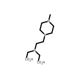 CN1CCN(CCN(CC(=O)O)CC(=O)O)CC1